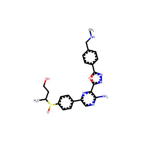 CNCc1ccc(-c2nnc(-c3nc(-c4ccc([S+]([O-])C(C)CCO)cc4)cnc3N)o2)cc1